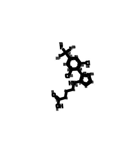 O=C(O)CCCNc1ccnn1-c1c(Cl)cc(C(F)(F)F)cc1Cl